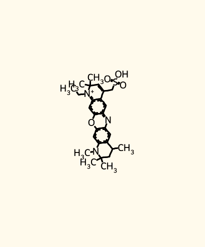 CC[N+]1=c2cc3c(cc2C(CS(=O)(=O)O)=CC1(C)C)=Nc1cc2c(cc1O3)N(C)C(C)(C)CC2C